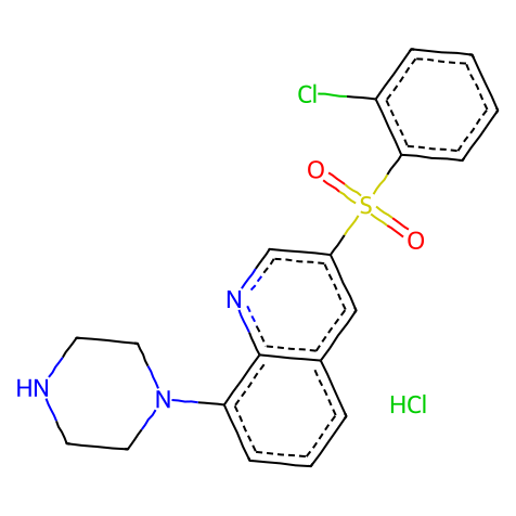 Cl.O=S(=O)(c1cnc2c(N3CCNCC3)cccc2c1)c1ccccc1Cl